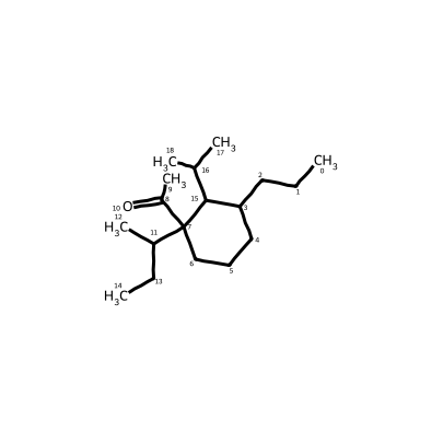 CCCC1CCCC(C(C)=O)(C(C)CC)C1C(C)C